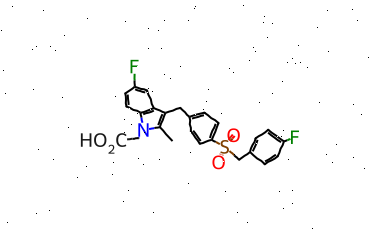 Cc1c(Cc2ccc(S(=O)(=O)Cc3ccc(F)cc3)cc2)c2cc(F)ccc2n1CC(=O)O